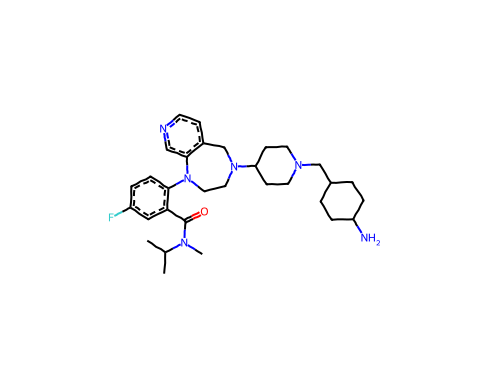 CC(C)N(C)C(=O)c1cc(F)ccc1N1CCN(C2CCN(CC3CCC(N)CC3)CC2)Cc2ccncc21